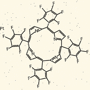 Fc1c(F)c(F)c(C2=C3C=CC(=N3)C(c3c(F)c(F)c(F)c(F)c3F)=C3C=CC(=N3)C(c3c(F)c(F)c(F)c(F)c3F)=C3C=CC(=N3)C(c3c(F)c(F)c(F)c(F)c3F)=C3C=CC2=N3)c(F)c1F.[Pt]